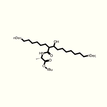 CCCCCCCCCCCCCCCCCC(O)C(CCCCCCCCCCCCCCCC)C(=O)N[C@@H](C)C(=O)OC(C)(C)C